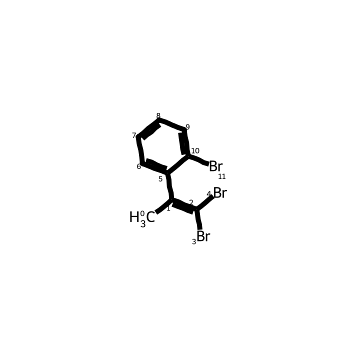 CC(=C(Br)Br)c1ccccc1Br